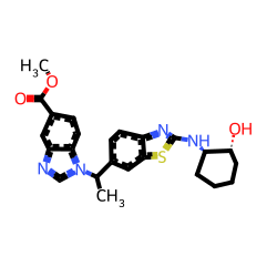 COC(=O)c1ccc2c(c1)ncn2C(C)c1ccc2nc(N[C@@H]3CCCC[C@H]3O)sc2c1